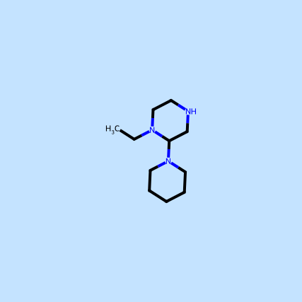 CCN1CCNCC1N1CCCCC1